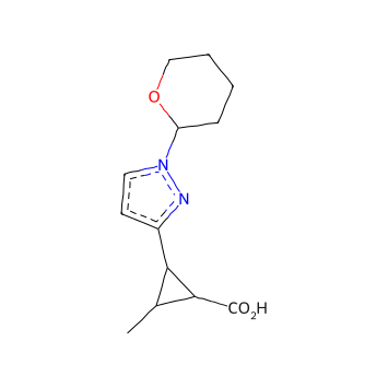 CC1C(C(=O)O)C1c1ccn(C2CCCCO2)n1